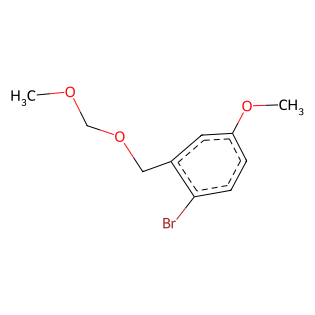 COCOCc1cc(OC)ccc1Br